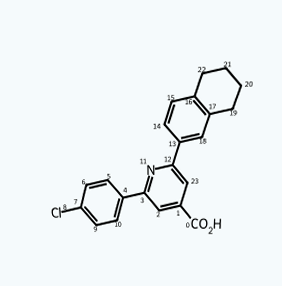 O=C(O)c1cc(-c2ccc(Cl)cc2)nc(-c2ccc3c(c2)CCCC3)c1